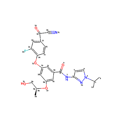 CC(C)n1ccc(NC(=O)c2cc(Oc3ccc(C(=O)C#N)cc3F)cc(O[C@@H](C)CO)c2)n1